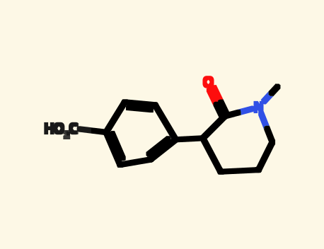 CN1CCCC(c2ccc(C(=O)O)cc2)C1=O